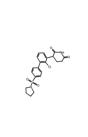 O=C1CCC(c2cccc(-c3ccc(S(=O)(=O)N4CCCC4)cc3)c2Cl)C(=O)N1